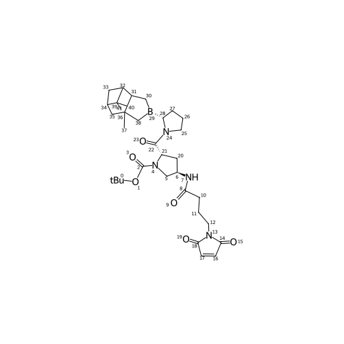 CC(C)(C)OC(=O)N1C[C@H](NC(=O)CCCN2C(=O)C=CC2=O)C[C@H]1C(=O)N1CCC[C@H]1B1CC2C3CC(CC2(C)C1)C3(C)C